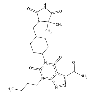 CCCCn1c(=O)n(C2CCC(CN3C(=O)NC(=O)C3(C)C)CC2)c(=O)c2c(C(N)=O)snc21